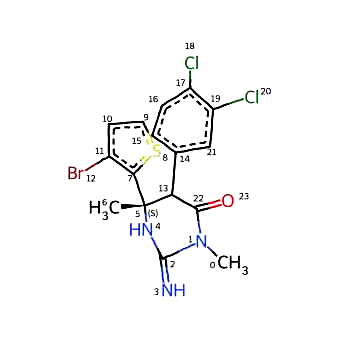 CN1C(=N)N[C@](C)(c2sccc2Br)C(c2ccc(Cl)c(Cl)c2)C1=O